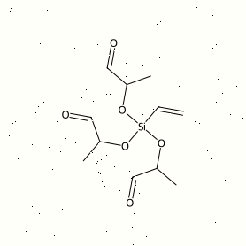 C=C[Si](OC(C)C=O)(OC(C)C=O)OC(C)C=O